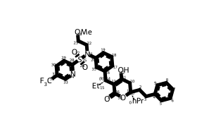 CCC[C@@]1(CCc2ccccc2)CC(O)=C([C@H](CC)c2cccc(N(CCOC)S(=O)(=O)c3ccc(C(F)(F)F)cn3)c2)C(=O)O1